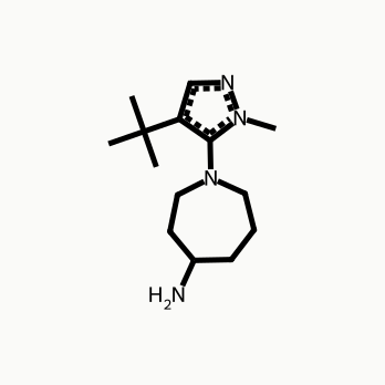 Cn1ncc(C(C)(C)C)c1N1CCCC(N)CC1